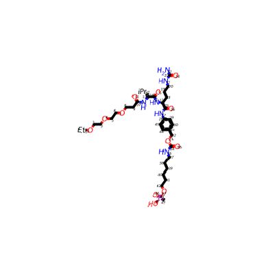 CCOCCOCCOCCC(=O)NC(C(=O)NC(CCCNC(N)=O)C(=O)Nc1ccc(COC(=O)NCCCCCCOP(C)(=O)O)cc1)C(C)C